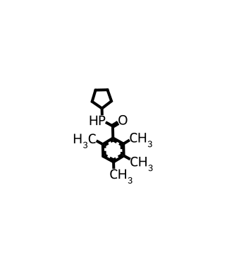 Cc1cc(C)c(C(=O)PC2CCCC2)c(C)c1C